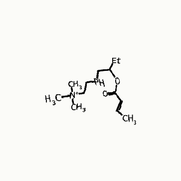 CC=CC(=O)OC(CC)CPCC[N+](C)(C)C